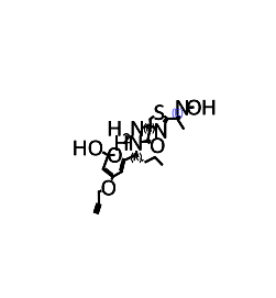 C#CCOC1=CC(O)OC([C@@H](CCC)NC(=O)[C@]2(N)CSC(/C(C)=N/O)=N2)=C1